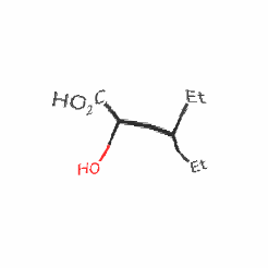 CCC(CC)C(O)C(=O)O